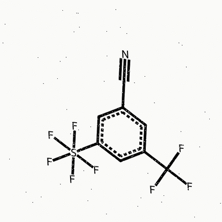 N#Cc1cc(C(F)(F)F)cc(S(F)(F)(F)(F)F)c1